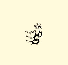 C/C(=C(\ON)c1c(C)cccc1-n1nnn(C)c1=O)c1ccccc1C